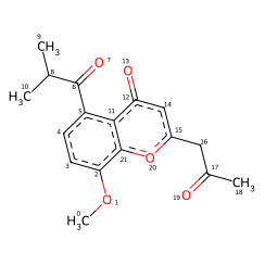 COc1ccc(C(=O)C(C)C)c2c(=O)cc(CC(C)=O)oc12